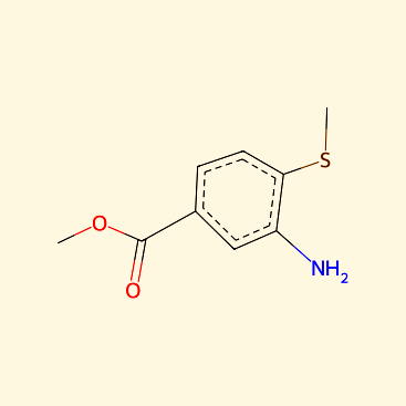 COC(=O)c1ccc(SC)c(N)c1